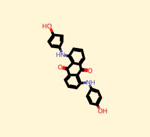 O=C1c2cccc(Nc3ccc(O)cc3)c2C(=O)c2cccc(Nc3ccc(O)cc3)c21